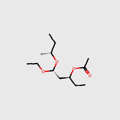 CCO[C@@H](C[C@H](CC)OC(C)=O)O[C@H](C)CC